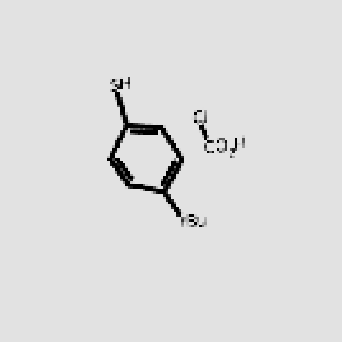 CC(C)(C)c1ccc(S)cc1.O=C(O)Cl